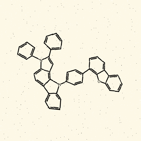 c1ccc(-c2cc3c(ccc4c5ccccc5n(-c5ccc(-c6cccc7c6oc6ccccc67)cc5)c43)n2-c2ccccc2)cc1